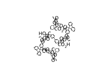 C=CC(=O)OCC(COc1ccc(C2(c3ccc(OCC(OC(=O)C=C)OC(=O)c4cc(-c5ccc(C(=O)O)c(C(=O)OC(COc6ccc(C7(c8ccc(OCC(COC(=O)C=C)OC(=O)C9CC=CCC9C(=O)O)cc8)c8ccccc8-c8ccccc87)cc6)OC(=O)C=C)c5)ccc4C(=O)O)cc3)c3ccccc3-c3ccccc32)cc1)OC(=O)C1CC=CCC1C(=O)O